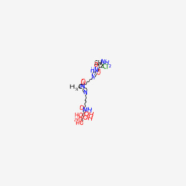 COc1cc(N)c(Cl)cc1C(=O)NC1CCN(CCCCCC(=O)N(C)C2CCN(CCCCCCCC(=O)NC[C@H](O)[C@@H](O)[C@H](O)[C@H](O)CO)CC2)CC1